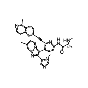 CN[C@@H](C)C(=O)Nc1ccc(-c2c(-c3cncn3C)nc3cc(C)ccn23)c(C#Cc2ccc3c(C)nccc3c2)n1